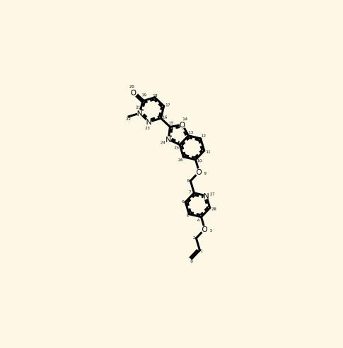 C=CCOc1ccc(COc2ccc3oc(-c4ccc(=O)n(C)n4)nc3c2)nc1